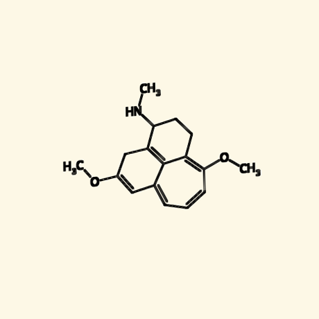 CNC1CCC2=C(OC)C=CC=C3C=C(OC)CC1=C32